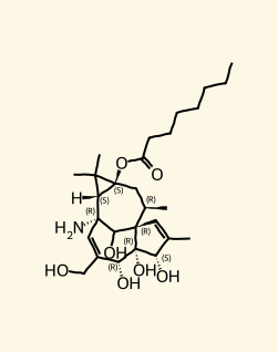 CCCCCCCC(=O)O[C@@]12C[C@@H](C)[C@]34C=C(C)[C@H](O)[C@@]3(O)[C@H](O)C(CO)=C[C@](N)(C4O)[C@@H]1C2(C)C